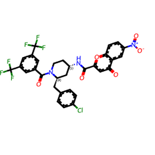 O=C(N[C@H]1CCN(C(=O)c2cc(C(F)(F)F)cc(C(F)(F)F)c2)[C@H](Cc2ccc(Cl)cc2)C1)c1cc(=O)c2cc([N+](=O)[O-])ccc2o1